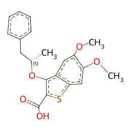 COc1cc2sc(C(=O)O)c(O[C@@H](C)Cc3ccccc3)c2cc1OC